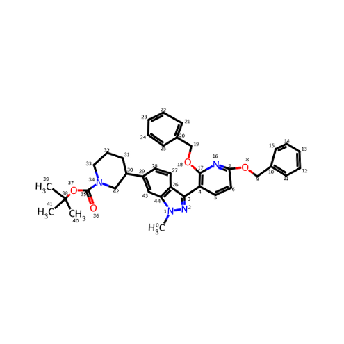 Cn1nc(-c2ccc(OCc3ccccc3)nc2OCc2ccccc2)c2ccc(C3CCCN(C(=O)OC(C)(C)C)C3)cc21